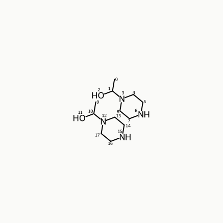 CC(O)N1CCNCC1.CC(O)N1CCNCC1